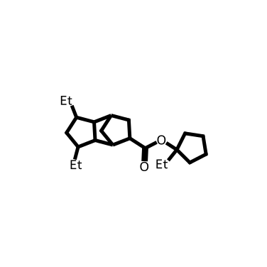 CCC1CC(CC)C2C3CC(CC3C(=O)OC3(CC)CCCC3)C12